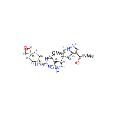 CNC(=O)c1cnn2ccc(-c3c[nH]c4nc(NC5CCC6(CC5)COC6)nc(OC)c34)cc12